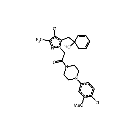 COc1cc(N2CCN(C(=O)Cn3nc(C(F)(F)F)c(Cl)c3CC3(O)C=CC=CC3)CC2)ccc1Cl